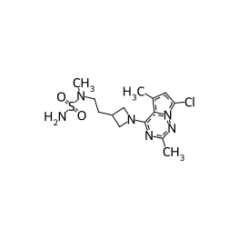 Cc1nc(N2CC(CCN(C)S(N)(=O)=O)C2)c2c(C)cc(Cl)n2n1